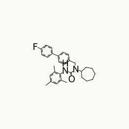 Cc1cc(C)c(NC(=O)N(Cc2ccc(-c3ccc(F)cc3)cc2)C2CCCCCC2)c(C)c1